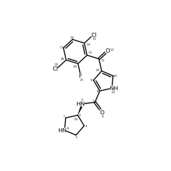 O=C(N[C@H]1CCNC1)c1cc(C(=O)c2c(Cl)ccc(Cl)c2F)c[nH]1